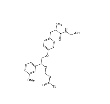 CCC(=O)OCOC(COc1ccc(CC(SC)C(=O)NCO)cc1)c1cccc(OC)c1